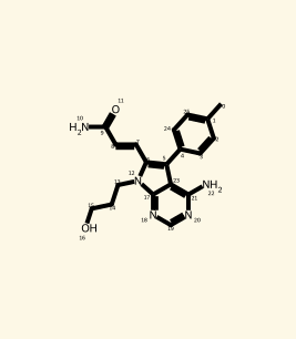 Cc1ccc(-c2c(/C=C/C(N)=O)n(CCCO)c3ncnc(N)c23)cc1